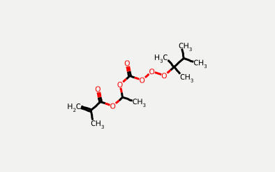 C=C(C)C(=O)OC(C)OC(=O)OOOC(C)(C)C(C)C